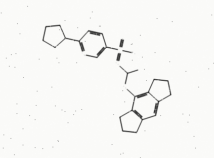 NS(=O)(=NC(O)Nc1c2c(cc3c1CCC3)CCC2)c1ccc(C2CCCC2)nc1